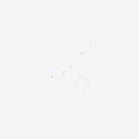 CC(C)n1nc(-c2sc(C(=O)NC3CC3)nc2-c2ccc(F)cc2)ccc1=O